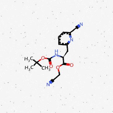 CC(C)(C)OC(=O)N[C@@H](Cc1cccc(C#N)n1)C(=O)OCC#N